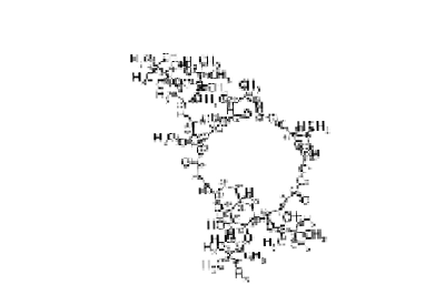 C=C1C[C@@H]2CCC(=O)/C=C/C(O[Si](C)(C)C(C)(C)C)[C@@H]3C[C@H]4CC[C@H](CC(=O)C[C@@H]5[C@@H](OC)[C@@H](CC(CO[Si](C)(C)C(C)(C)C)O[Si](C)(C)C(C)(C)C)O[C@H]5C[C@H]5O[C@@H](CC[C@@H]1O2)C[C@@H](C)C5=C)O[C@@H]4[C@H](O)C3O[Si](C)(C)C(C)(C)C